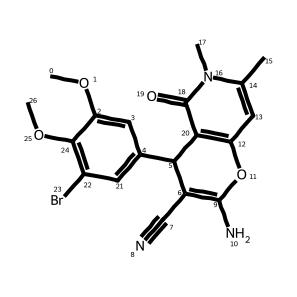 COc1cc(C2C(C#N)=C(N)Oc3cc(C)n(C)c(=O)c32)cc(Br)c1OC